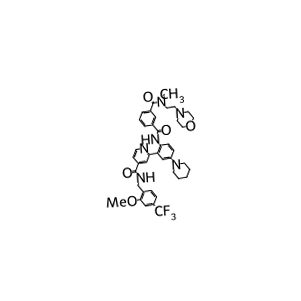 COc1cc(C(F)(F)F)ccc1CNC(=O)c1ccnc(-c2cc(N3CCCCC3)ccc2NC(=O)c2cccc(C(=O)N(C)CCN3CCOCC3)c2)c1